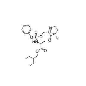 CCC(CC)COC(=O)[C@H](C)NP(=O)(OCC1C(=O)[C@@H]2CCN1C2)Oc1ccccc1